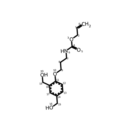 C=CCOC(=O)NCCCOc1ccc(CO)cc1CO